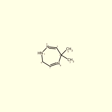 CC1(C)C=NNCC=N1